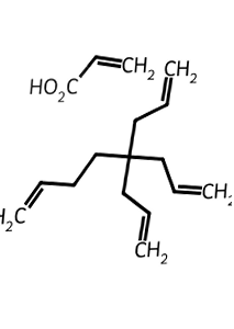 C=CC(=O)O.C=CCCC(CC=C)(CC=C)CC=C